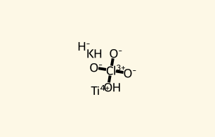 [H-].[KH].[O-][Cl+3]([O-])([O-])O.[Ti+4]